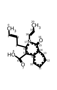 CC=CCc1c(C(=O)O)c2ccccc2c(=O)n1C=CC